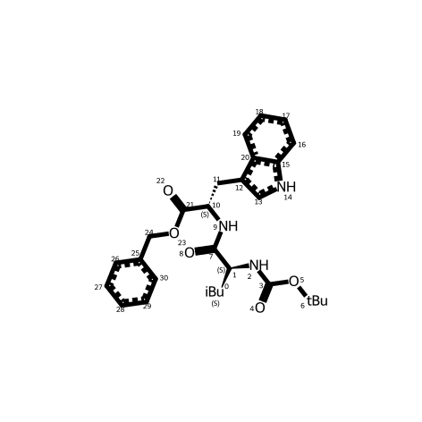 CC[C@H](C)[C@H](NC(=O)OC(C)(C)C)C(=O)N[C@@H](Cc1c[nH]c2ccccc12)C(=O)OCc1ccccc1